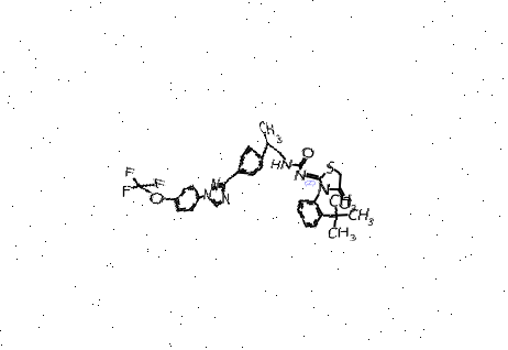 CC(CNC(=O)/N=C1\SCC(=O)N1c1ccccc1C(C)(C)C)c1ccc(-c2ncn(-c3ccc(OC(F)(F)F)cc3)n2)cc1